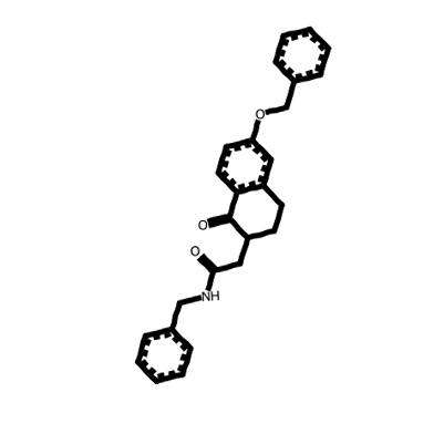 O=C(CC1CCc2cc(OCc3ccccc3)ccc2C1=O)NCc1ccccc1